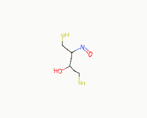 O=NC(CS)C(O)CS